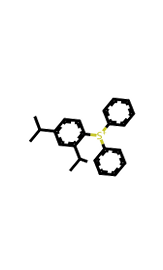 CC(C)c1ccc([S+](c2ccccc2)c2ccccc2)c(C(C)C)c1